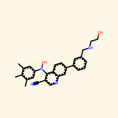 Cc1cc(N(O)c2c(C#N)cnc3cc(-c4cccc(CNCCO)c4)ccc23)cc(C)c1C